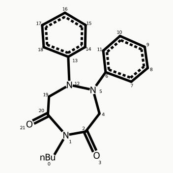 CCCCN1C(=O)CN(c2ccccc2)N(c2ccccc2)CC1=O